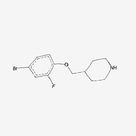 Fc1cc(Br)ccc1OCC1CCNCC1